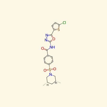 C[C@@H]1C[C@H](C)CN(S(=O)(=O)c2ccc(C(=O)Nc3nnc(-c4ccc(Cl)s4)o3)cc2)C1